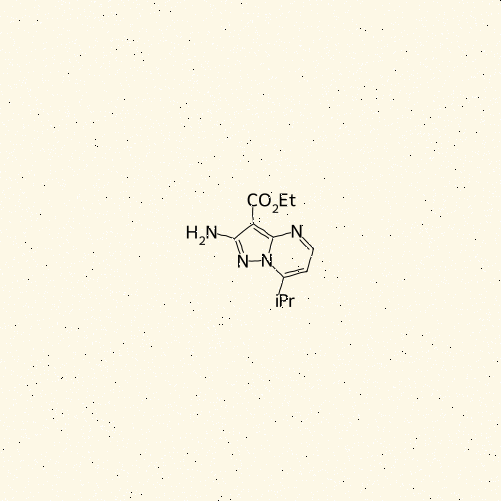 CCOC(=O)c1c(N)nn2c(C(C)C)ccnc12